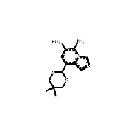 CC1(C)COC(c2cc(C(=O)O)c(N)n3cncc23)OC1